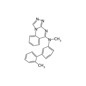 Cc1ccccc1-c1cccc(N(C)c2nc3nncn3c3ccccc23)c1